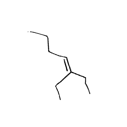 [CH2]CCC=C(CC)CC